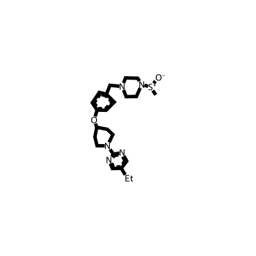 CCc1cnc(N2CCC(Oc3ccc(CN4CCN([S+](C)[O-])CC4)cc3)CC2)nc1